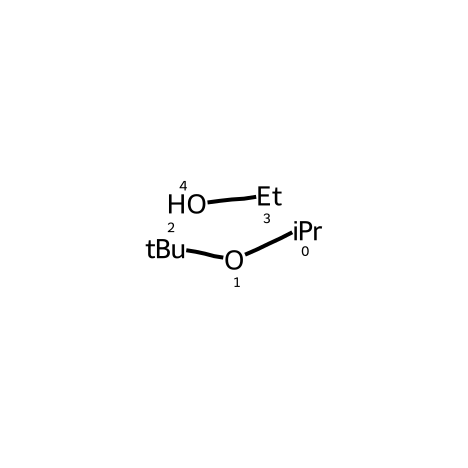 CC(C)OC(C)(C)C.CCO